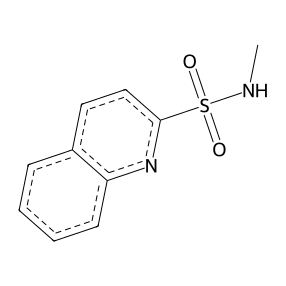 CNS(=O)(=O)c1ccc2ccccc2n1